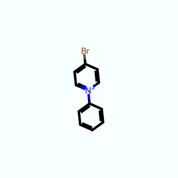 Brc1cc[n+](-c2ccccc2)cc1